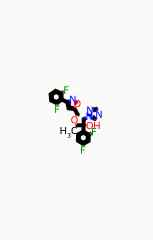 C[C@@H](OCc1cc(-c2c(F)cccc2F)no1)[C@](O)(Cn1cncn1)c1ccc(F)cc1F